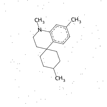 Cc1ccc2c(c1)N(C)CCC21CCC(C)CC1